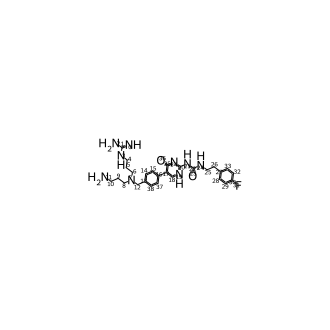 N=C(N)NCCCN(CCCN)Cc1ccc(-c2c[nH]c(NC(=O)NCCc3ccc(F)cc3)nc2=O)cc1